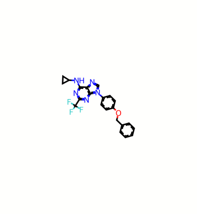 FC(F)(F)c1nc(NC2CC2)c2ncn(-c3ccc(OCc4ccccc4)cc3)c2n1